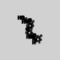 Cc1cccc(NC(=O)NC2CCC(Oc3ccc(C)c(C(=O)NCCO)c3)CC2)c1